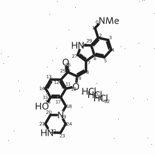 CNCc1cccc2c(C=C3Oc4c(ccc(O)c4CN4CCNCC4)C3=O)c[nH]c12.Cl.Cl.Cl